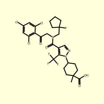 CC1(C(=O)O)CCC(n2ncc(C(=O)N(CC(=O)c3c(Cl)cc(Cl)cc3Cl)CC3(F)CCCC3)c2C(F)(F)F)CC1